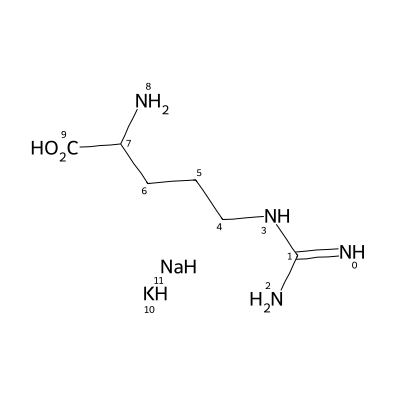 N=C(N)NCCCC(N)C(=O)O.[KH].[NaH]